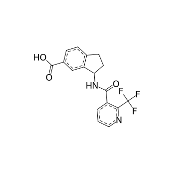 O=C(O)c1ccc2c(c1)C(NC(=O)c1cccnc1C(F)(F)F)CC2